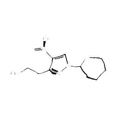 NCCc1nn(C2CCCCO2)cc1[N+](=O)[O-]